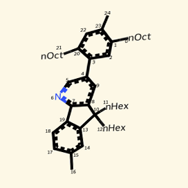 CCCCCCCCc1cc(-c2cnc3c(c2)C(CCCCCC)(CCCCCC)c2cc(C)ccc2-3)c(CCCCCCCC)cc1C